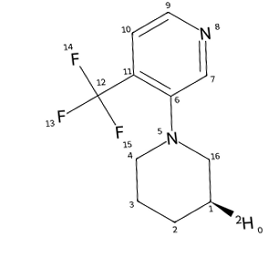 [2H][C@H]1CCCN(c2cnccc2C(F)(F)F)C1